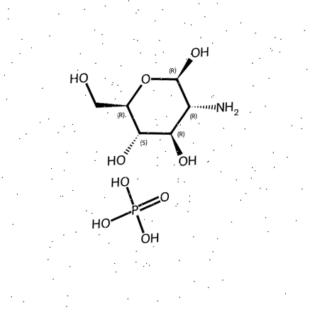 N[C@@H]1[C@@H](O)[C@H](O)[C@@H](CO)O[C@H]1O.O=P(O)(O)O